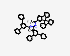 C=C(/N=C(\N=C(/C)c1cc(-c2ccccc2)cc(-c2ccccc2)c1)c1cc(-c2ccccc2)cc(-c2ccccc2)c1)c1ccc2c(c1)C1(c3ccccc3-c3ccccc31)c1ccccc1-2